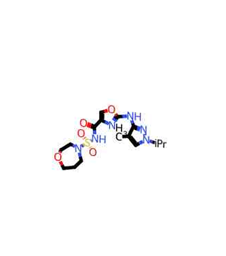 Cc1cn(C(C)C)nc1Nc1nc(C(=O)NS(=O)(=O)N2CCCOCC2)co1